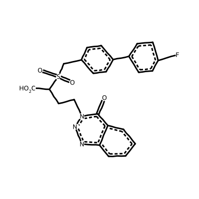 O=C(O)C(CCn1nnc2ccccc2c1=O)S(=O)(=O)Cc1ccc(-c2ccc(F)cc2)cc1